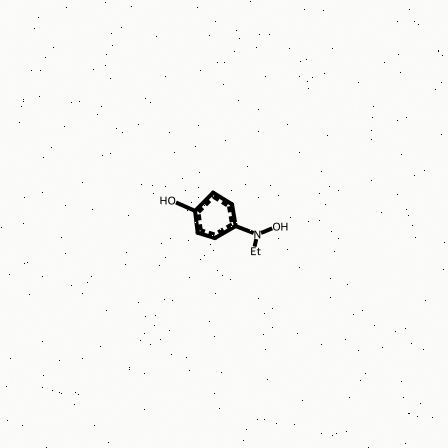 CCN(O)c1ccc(O)cc1